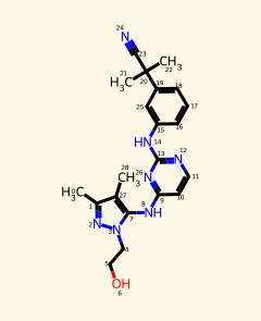 Cc1nn(CCO)c(Nc2ccnc(Nc3cccc(C(C)(C)C#N)c3)n2)c1C